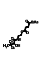 CCC(C)(C)[C@H](O)C(=O)NCCOC(=O)/C=C/C(=O)OC